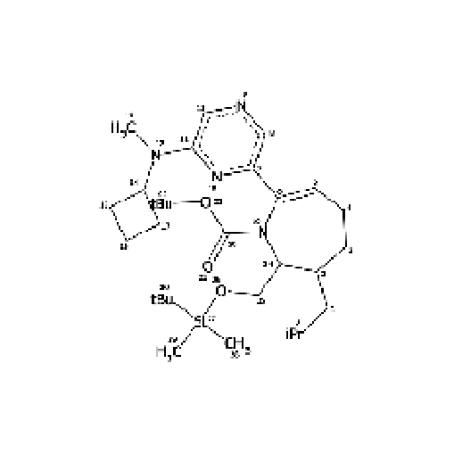 CC(C)CC1CCC=C(c2cncc(N(C)C3CCC3)n2)N(C(=O)OC(C)(C)C)C1CO[Si](C)(C)C(C)(C)C